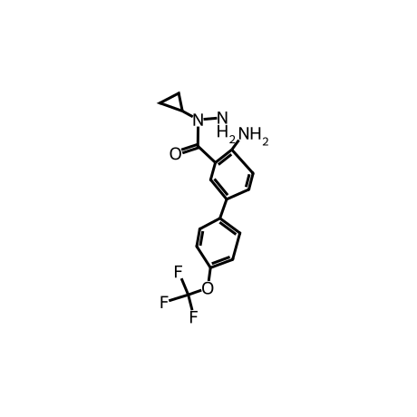 Nc1ccc(-c2ccc(OC(F)(F)F)cc2)cc1C(=O)N(N)C1CC1